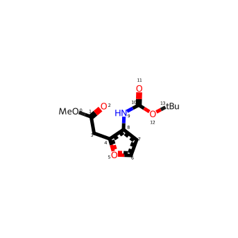 COC(=O)Cc1occc1NC(=O)OC(C)(C)C